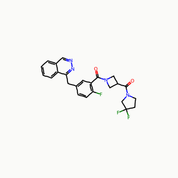 O=C(c1cc(Cc2nncc3ccccc23)ccc1F)N1CC(C(=O)N2CCC(F)(F)C2)C1